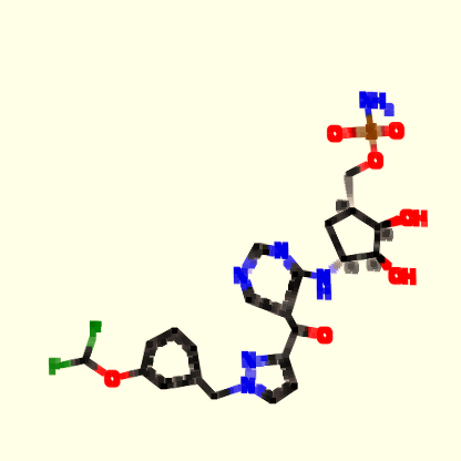 NS(=O)(=O)OC[C@H]1C[C@@H](Nc2ncncc2C(=O)c2ccn(Cc3cccc(OC(F)F)c3)n2)[C@H](O)[C@@H]1O